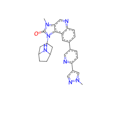 Cn1cc(-c2ccc(-c3ccc4ncc5c(c4c3)n(C3CC4CCC(C3)N4)c(=O)n5C)cn2)cn1